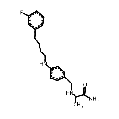 CC(NCc1ccc(NCCCCc2cccc(F)c2)cc1)C(N)=O